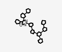 c1ccc(-c2cccc(-c3cc(-c4ccccc4)cc(-c4cccc(-c5cccc(-c6nc(-c7cccc(-c8ccccc8)c7)c7c(n6)oc6ccccc67)c5)c4)c3)c2)cc1